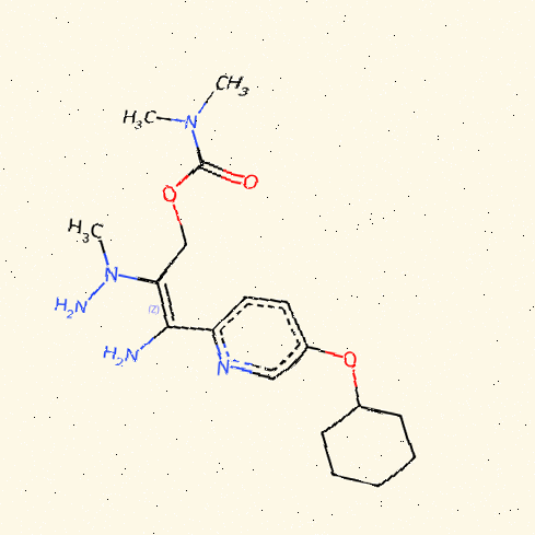 CN(C)C(=O)OC/C(=C(/N)c1ccc(OC2CCCCC2)cn1)N(C)N